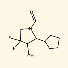 O=CN1CC(F)(F)C(O)C1C1CCCC1